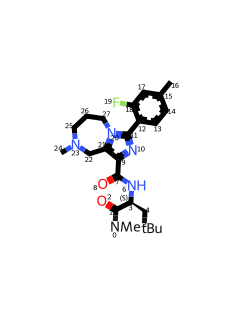 CNC(=O)[C@H](CC(C)(C)C)NC(=O)c1nc(-c2ccc(C)cc2F)n2c1CN(C)CCC2